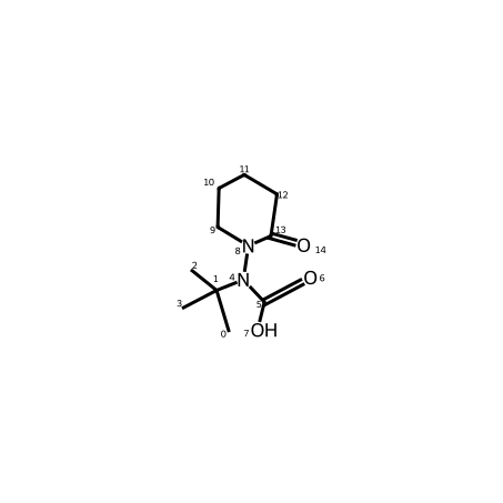 CC(C)(C)N(C(=O)O)N1CCCCC1=O